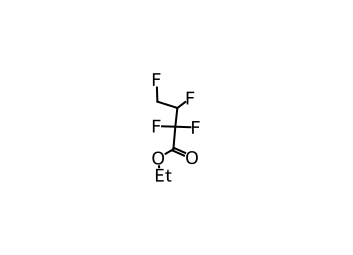 CCOC(=O)C(F)(F)C(F)CF